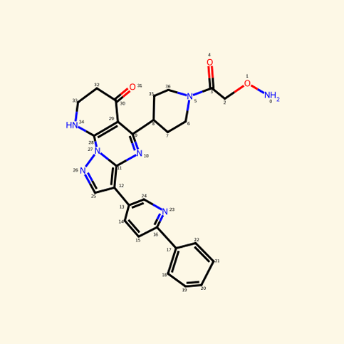 NOCC(=O)N1CCC(c2nc3c(-c4ccc(-c5ccccc5)nc4)cnn3c3c2C(=O)CCN3)CC1